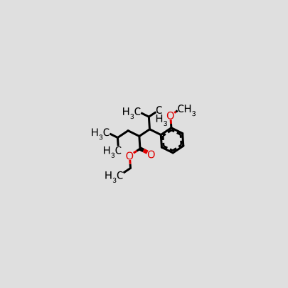 CCOC(=O)C(CC(C)C)C(c1ccccc1OC)C(C)C